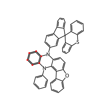 c1ccc(N(c2ccc3c(c2)C2(c4ccccc4Sc4ccccc42)c2ccccc2-3)c2ccc3oc4ccccc4c3c2N(c2ccccc2)c2ccccc2)cc1